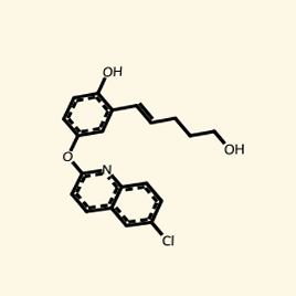 OCCCC=Cc1cc(Oc2ccc3cc(Cl)ccc3n2)ccc1O